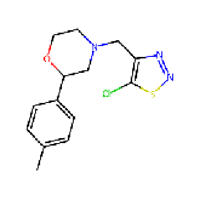 Cc1ccc(C2CN(Cc3nnsc3Cl)CCO2)cc1